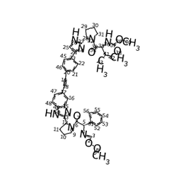 COO/C=N/[C@@H](C(=O)N1CCC[C@H]1c1nc2cc(C#Cc3ccc(-c4c[nH]c([C@@H]5CCCN5C(=O)[C@@H](NC(=O)OC)C(C)C)n4)cc3)ccc2[nH]1)c1ccccc1